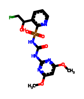 COc1cc(OC)nc(NC(=O)NS(=O)(=O)c2ncccc2C(O)CF)n1